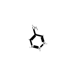 Cc1[c]nnnc1